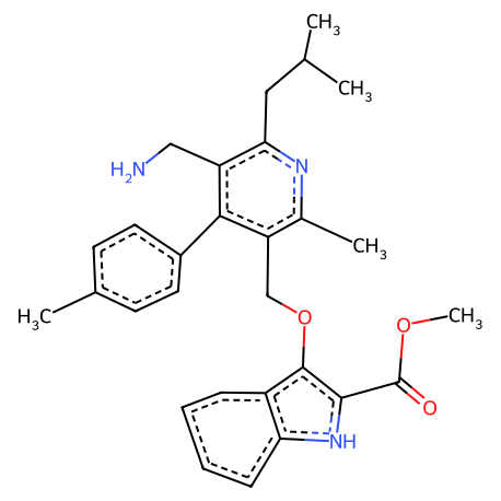 COC(=O)c1[nH]c2ccccc2c1OCc1c(C)nc(CC(C)C)c(CN)c1-c1ccc(C)cc1